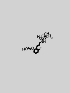 CC(C)(C)OC(=O)NC/C=C/c1c(F)cccc1OCCO